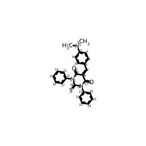 CN(C)c1ccc(C=C2C(=O)N(c3ccccc3)C(=S)N(c3ccccc3)C2=O)cc1